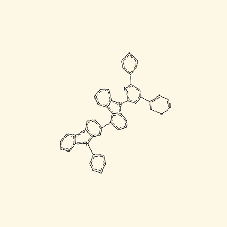 C1=CCCC(c2cc(-c3ccccc3)nc(-n3c4ccccc4c4c(-c5ccc6c7ccccc7n(-c7ccccc7)c6c5)cccc43)c2)=C1